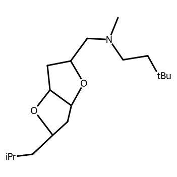 CC(C)CC1CC2OC(CN(C)CCC(C)(C)C)CC2O1